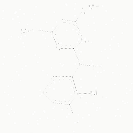 COc1cc(OC)nc(C(O)c2cccc(I)c2N)n1